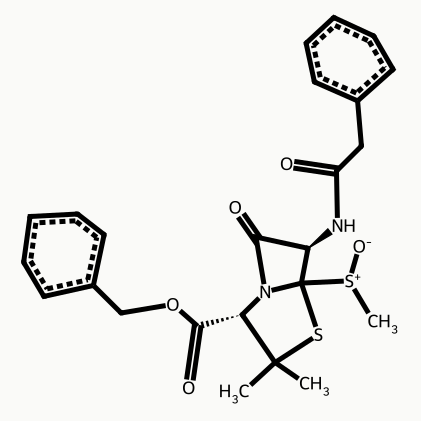 C[S+]([O-])C12SC(C)(C)[C@H](C(=O)OCc3ccccc3)N1C(=O)[C@H]2NC(=O)Cc1ccccc1